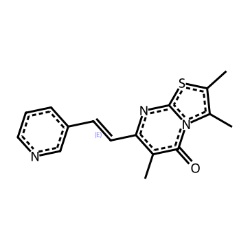 Cc1sc2nc(/C=C/c3cccnc3)c(C)c(=O)n2c1C